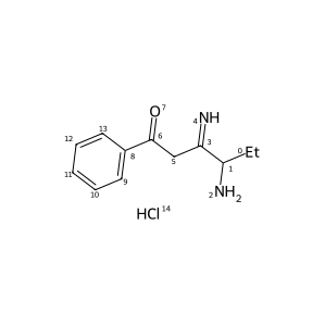 CCC(N)C(=N)CC(=O)c1ccccc1.Cl